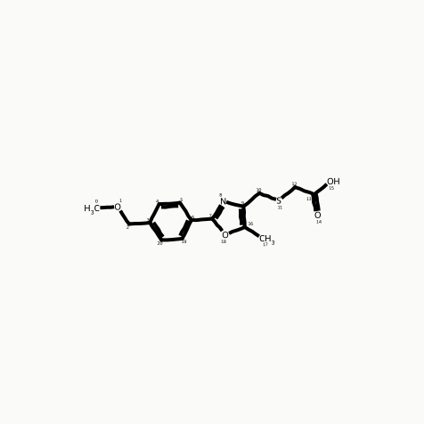 COCc1ccc(-c2nc(CSCC(=O)O)c(C)o2)cc1